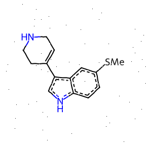 CSc1ccc2[nH]cc(C3=CCNCC3)c2c1